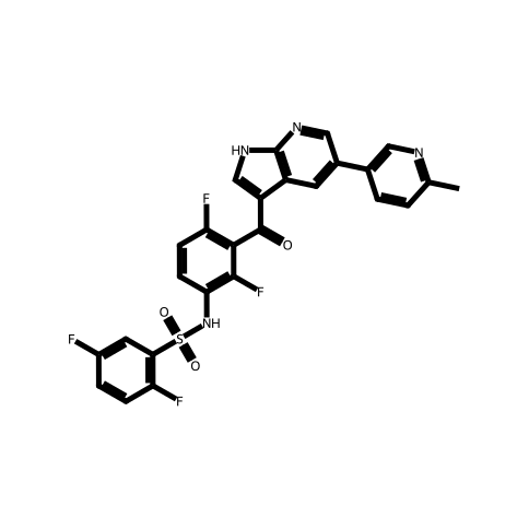 Cc1ccc(-c2cnc3[nH]cc(C(=O)c4c(F)ccc(NS(=O)(=O)c5cc(F)ccc5F)c4F)c3c2)cn1